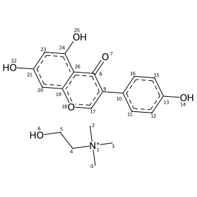 C[N+](C)(C)CCO.O=c1c(-c2ccc(O)cc2)coc2cc(O)cc(O)c12